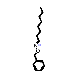 CCCCCCC/C=N/OCc1ccccc1